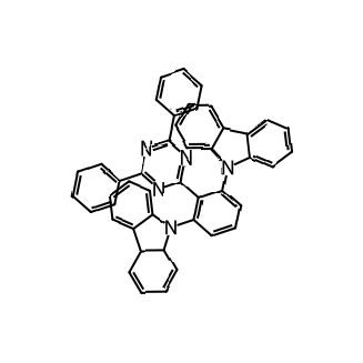 C1=CC2c3ccccc3N(c3cccc(-n4c5ccccc5c5ccccc54)c3-c3nc(-c4ccccc4)nc(-c4ccccc4)n3)C2C=C1